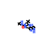 CC(C)(C)CNC(=O)N1C[C@H](Nc2c(C#N)cnc3[nH]ccc23)[C@H](C(C)(C)C)C1